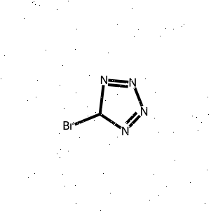 BrC1N=NN=N1